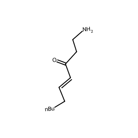 CCCCC/C=C/C(=O)CCN